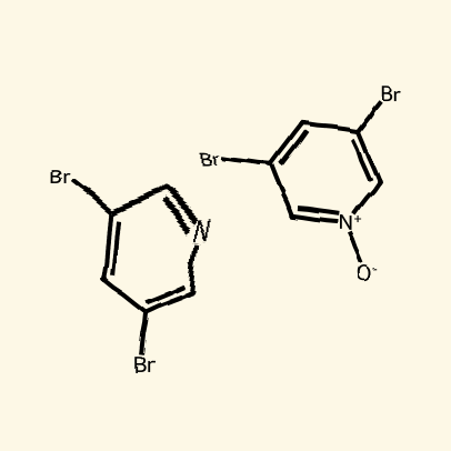 Brc1cncc(Br)c1.[O-][n+]1cc(Br)cc(Br)c1